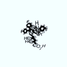 CC(C)c1c(S(=O)(=O)Nc2ccc(F)cc2F)c(-c2ccc(F)cc2)c(-c2ccc(F)cc2)n1CC[C@@H](O)C[C@@H](O)CC(=O)O